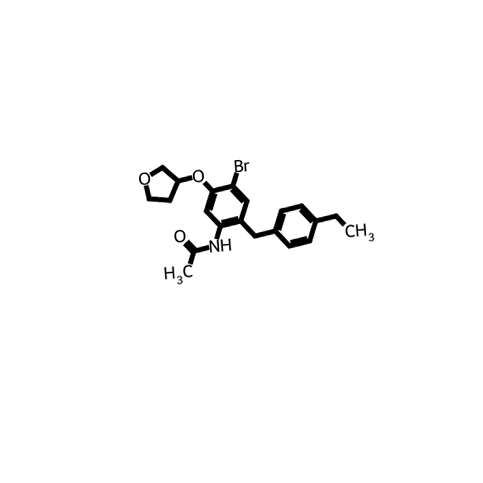 CCc1ccc(Cc2cc(Br)c(OC3CCOC3)cc2NC(C)=O)cc1